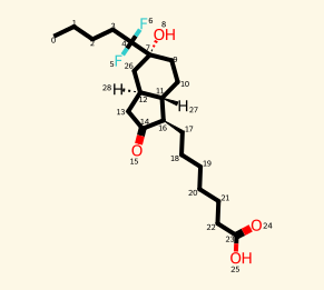 CCCCC(F)(F)[C@@]1(O)CC[C@H]2[C@@H](CC(=O)[C@@H]2CCCCCCC(=O)O)C1